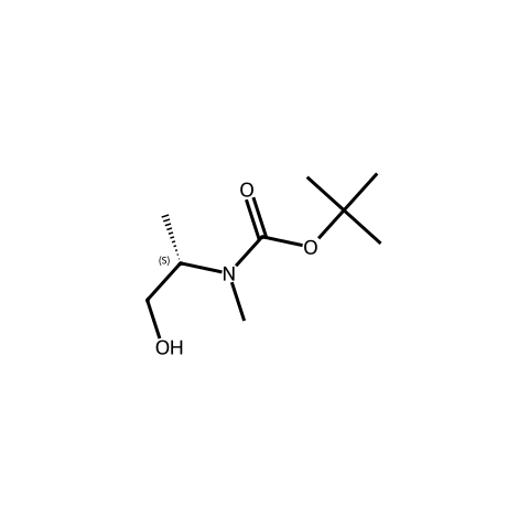 C[C@@H](CO)N(C)C(=O)OC(C)(C)C